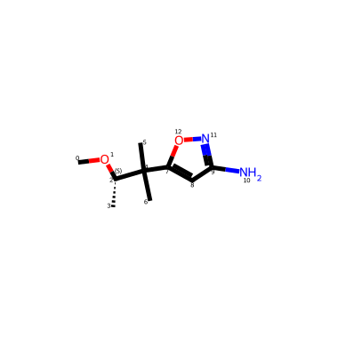 CO[C@@H](C)C(C)(C)c1cc(N)no1